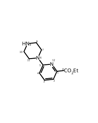 CCOC(=O)c1cccc(N2CCNCC2)n1